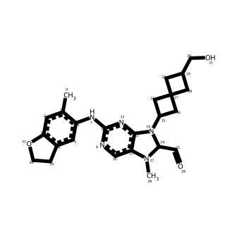 Cc1cc2c(cc1Nc1ncc3c(n1)N(C1CC4(CC(CO)C4)C1)C(C=O)N3C)CCO2